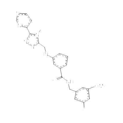 COc1cc(F)cc(CNC(=O)c2cccc(NCc3nnc(-c4ccncn4)n3C)c2)c1